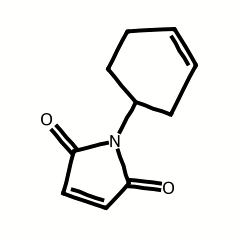 O=C1C=CC(=O)N1C1CC=CCC1